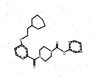 O=C(Nc1cnccn1)N1CCN(C(=O)c2cc(OCCC3CCCCC3)ccn2)CC1